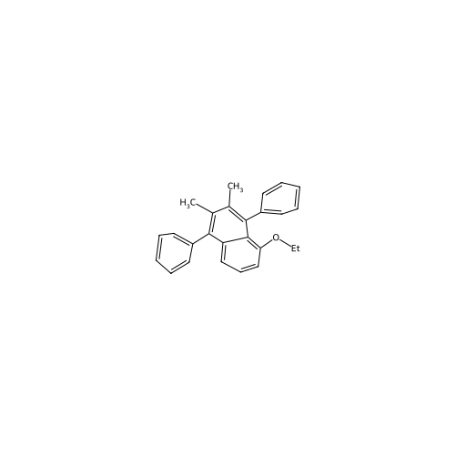 CCOc1cccc2c(-c3ccccc3)c(C)c(C)c(-c3ccccc3)c12